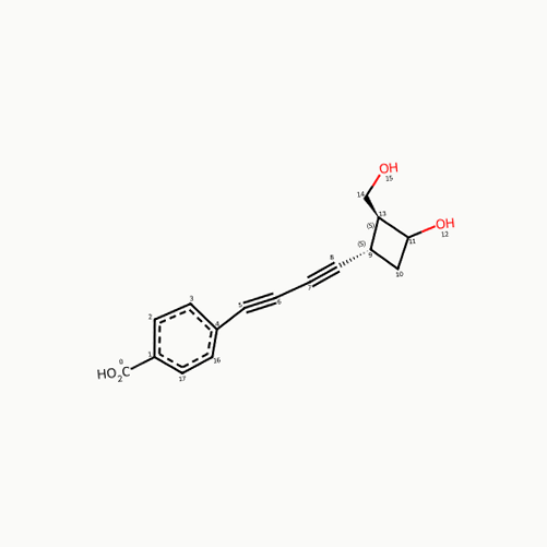 O=C(O)c1ccc(C#CC#C[C@H]2CC(O)[C@@H]2CO)cc1